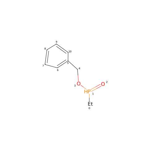 CC[PH](=O)OCc1ccccc1